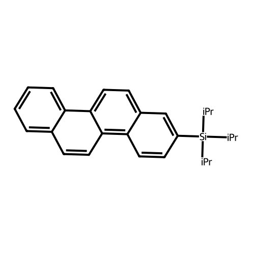 CC(C)[Si](c1ccc2c(ccc3c4ccccc4ccc23)c1)(C(C)C)C(C)C